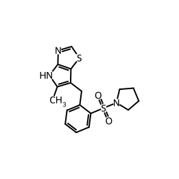 Cc1[nH]c2ncsc2c1Cc1ccccc1S(=O)(=O)N1CCCC1